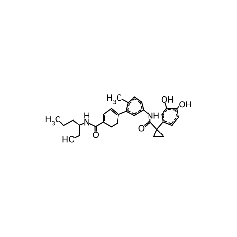 CCC[C@H](CO)NC(=O)C1=CC=C(c2cc(NC(=O)C3(c4ccc(O)c(O)c4)CC3)ccc2C)CC1